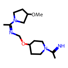 COC1CCN(/C(C)=N\COC2CCN(C(C)=N)CC2)C1